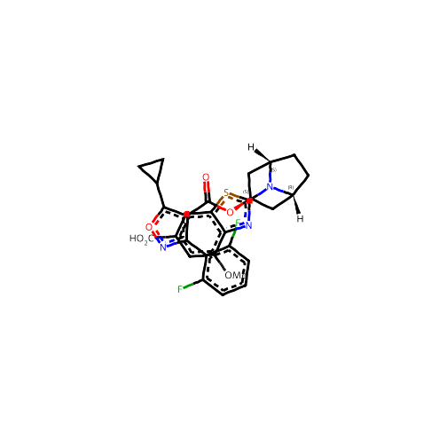 COc1cc(C(=O)O)cc2sc(N3[C@@H]4CC[C@H]3C[C@H](OC(=O)c3c(-c5c(F)cccc5F)noc3C3CC3)C4)nc12